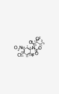 CC1OC(=O)N(c2cc([N+](=O)[O-])c(Cl)cc2F)C(=O)C1C(F)(F)F